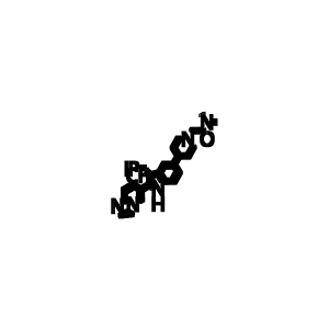 CC(C)c1c(-c2cn3ccnc3cc2C(F)(F)F)[nH]c2ccc(C3CCN(CC(=O)N(C)C)CC3)cc12